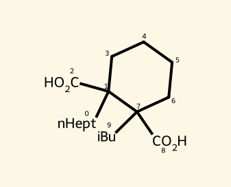 CCCCCCCC1(C(=O)O)CCCCC1(C(=O)O)C(C)CC